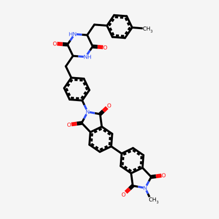 Cc1ccc(CC2NC(=O)C(Cc3ccc(N4C(=O)c5ccc(-c6ccc7c(c6)C(=O)N(C)C7=O)cc5C4=O)cc3)NC2=O)cc1